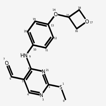 CSc1ncc(C=O)c(Nc2ccc(OC3COC3)cc2)n1